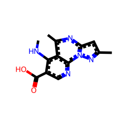 CNc1c(C(=O)O)cnc2c1c(C)nc1cc(C)nn12